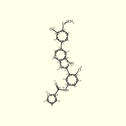 COc1ccc(-c2cnc3nc(-c4cc(NC(=O)c5ccco5)ccc4Cl)[nH]c3c2)cc1Cl